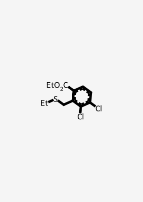 CCOC(=O)c1ccc(Cl)c(Cl)c1CSCC